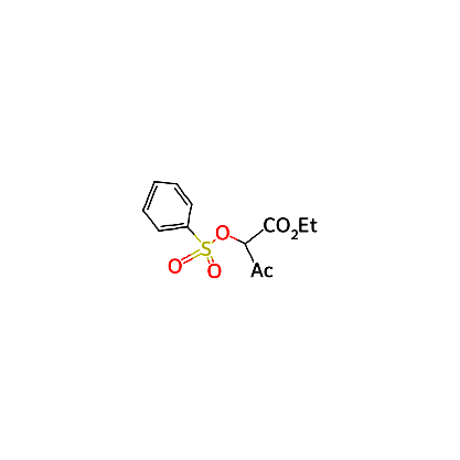 CCOC(=O)C(OS(=O)(=O)c1ccccc1)C(C)=O